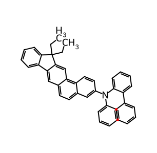 CCC1(CC)c2ccccc2-c2cc3ccc4cc(N(c5ccccc5)c5ccccc5-c5ccccc5)ccc4c3cc21